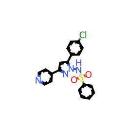 O=S(=O)(Nn1nc(-c2ccncc2)cc1-c1ccc(Cl)cc1)c1ccccc1